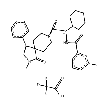 Cc1cccc(C(=O)N[C@@H](C(=O)N2CCC3(CC2)C(=O)N(C)CN3c2ccccc2)C2CCCCC2)n1.O=C(O)C(F)(F)F